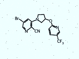 N#Cc1ncc(Br)cc1N1CCC(Oc2ccc(C(F)(F)F)cn2)C1